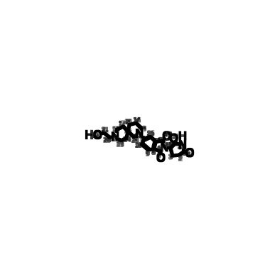 O=C1CCC(N2C(=O)c3ccc(N4CCCC5(CCN(CCO)CC5)C4)cc3C2=O)C(=O)N1